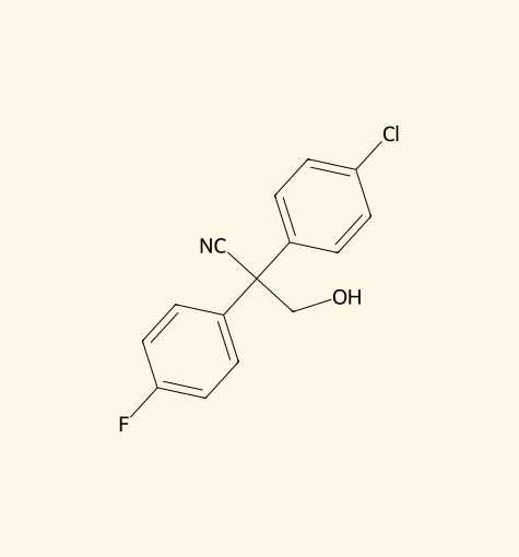 N#CC(CO)(c1ccc(F)cc1)c1ccc(Cl)cc1